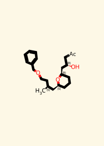 CC(=O)C[C@H](O)C[C@H]1CCC[C@@H](C[C@@H](C)CCOCc2ccccc2)O1